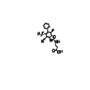 Cc1c(-c2ccccc2)c(F)c2oc(NCCC(=O)O)nc2c1C#N